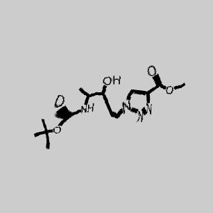 COC(=O)c1cn(CC(O)C(C)NC(=O)OC(C)(C)C)nn1